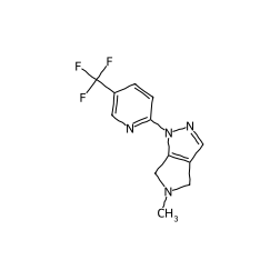 CN1Cc2cnn(-c3ccc(C(F)(F)F)cn3)c2C1